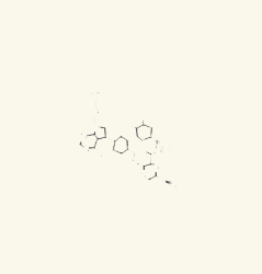 COCCCn1cc(-c2ccc(CNc3ncc(C#N)nc3C(=O)N[C@@H](C)c3ccc(F)c(F)c3)cc2)c2c(N)ncnc21